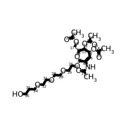 CC(=O)NC1=C[C@@H](OC(C)=O)[C@@H](OC(C)=O)[C@@H](COC(C)=O)O[C@H]1OCCOCCOCCOCCCO